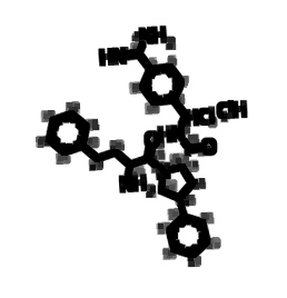 Cl.Cl.N=C(N)c1ccc(CNC(=O)[C@@H]2C[C@@H](c3ccccc3)CN2C(=O)C(N)CCc2ccccc2)cc1